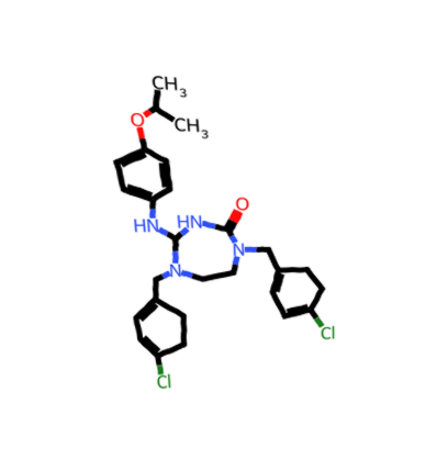 CC(C)Oc1ccc(NC2NC(=O)N(CC3=CC=C(Cl)CC3)CCN2CC2=CC=C(Cl)CC2)cc1